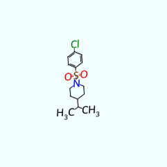 CC(C)C1CCN(S(=O)(=O)c2ccc(Cl)cc2)CC1